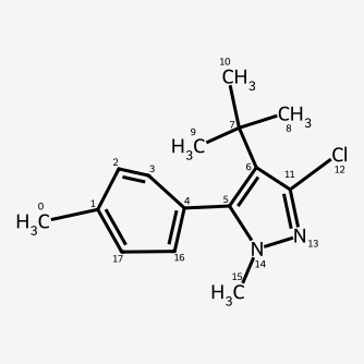 Cc1ccc(-c2c(C(C)(C)C)c(Cl)nn2C)cc1